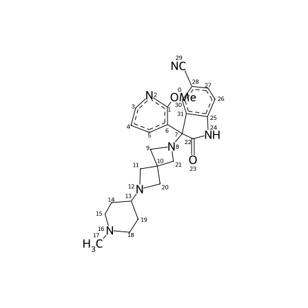 COc1ncccc1C1(N2CC3(CN(C4CCN(C)CC4)C3)C2)C(=O)Nc2ccc(C#N)cc21